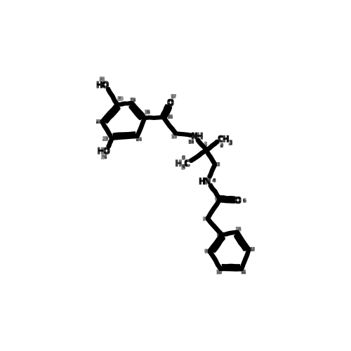 CC(C)(CNC(=O)Cc1ccccc1)NCC(=O)c1cc(O)cc(O)c1